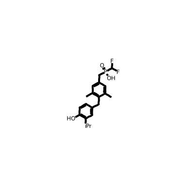 Cc1cc(CP(=O)(O)C(F)F)cc(C)c1Cc1ccc(O)c(C(C)C)c1